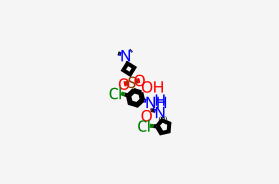 CN(C)[C@H]1C[C@H](S(=O)(=O)c2c(Cl)ccc(NC(=O)N[C@@H]3CCC=C3Cl)c2O)C1